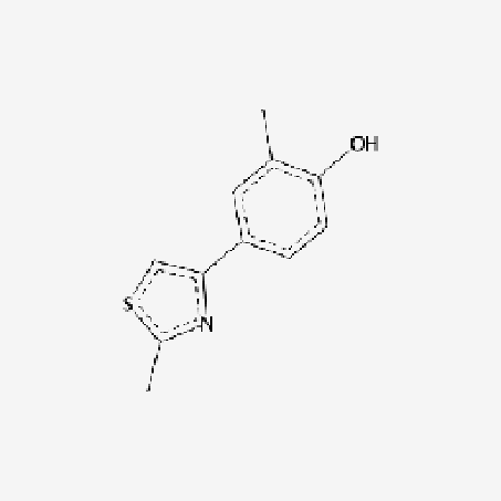 Cc1nc(-c2ccc(O)c(C)c2)cs1